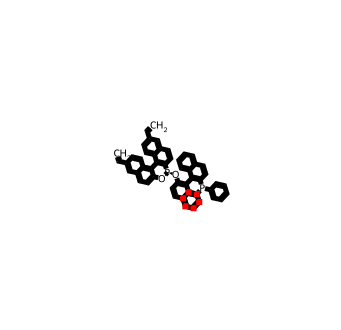 C=Cc1ccc2c3c(ccc2c1)O[P@](Oc1ccc2ccccc2c1-c1c(P(c2ccccc2)c2ccccc2)ccc2ccccc12)c1ccc2cc(C=C)ccc2c1-3